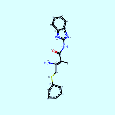 C/C(C(=O)Nc1nc2ccccc2[nH]1)=C(/N)CSc1ccccc1